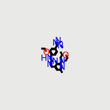 CCOc1cc(-c2nncn2C)ccc1Nc1ncc2cc(C)nc(N3CCOC(C)C3)c2n1